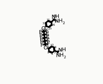 N=C(N)c1ccc(OC(F)(F)C(F)(F)C(F)(F)C(F)(F)C(F)(F)Oc2ccc(C(=N)N)cc2)cc1